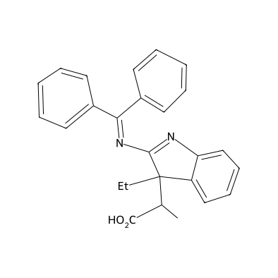 CCC1(C(C)C(=O)O)C(N=C(c2ccccc2)c2ccccc2)=Nc2ccccc21